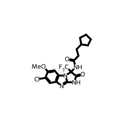 COc1cc2c(cc1Cl)nc1n2C(NC(=O)CCC2CCCC2)(C(F)(F)F)C(=O)N1